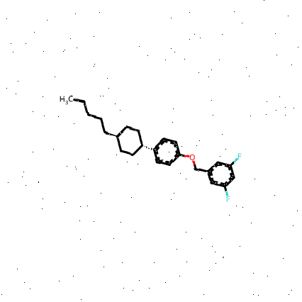 CCCCC[C@H]1CC[C@H](c2ccc(OCc3cc(F)cc(F)c3)cc2)CC1